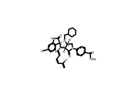 C=C(Cl)/C=C\C=C(/F)[C@@H]1[C@H]2C(=O)N(c3ccc(C(=O)OC)cc3)C[C@H]2N(CC2CCCCC2)[C@]12C(=O)Nc1cc(Cl)ccc12